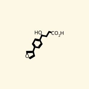 O=C(O)CCC(O)c1ccc(-c2ccoc2)cc1